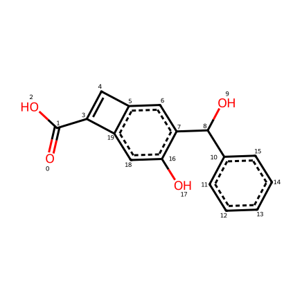 O=C(O)C1=Cc2cc(C(O)c3ccccc3)c(O)cc21